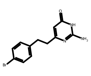 Nc1nc(CCc2ccc(Br)cc2)cc(=O)[nH]1